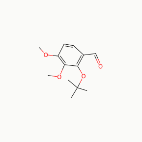 COc1ccc(C=O)c(OC(C)(C)C)c1OC